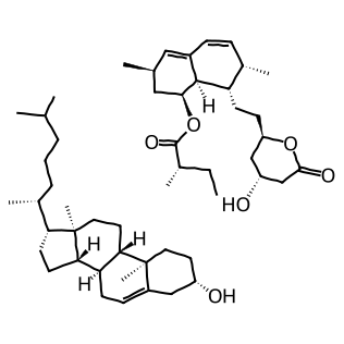 CC(C)CCC[C@@H](C)[C@H]1CC[C@H]2[C@@H]3CC=C4C[C@@H](O)CC[C@]4(C)[C@H]3CC[C@]12C.CC[C@H](C)C(=O)O[C@H]1C[C@@H](C)C=C2C=C[C@H](C)[C@H](CC[C@@H]3C[C@@H](O)CC(=O)O3)[C@H]21